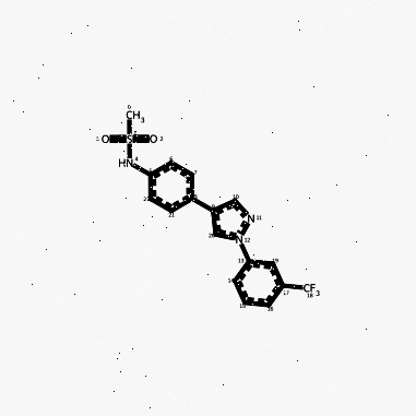 CS(=O)(=O)Nc1ccc(-c2cnn(-c3cccc(C(F)(F)F)c3)c2)cc1